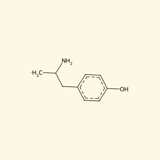 [CH2]C(N)Cc1ccc(O)cc1